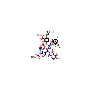 CCN1CCN(C(=O)NC(C(=O)N[C@@H](Cc2ccc(SCC=O)c(C(=O)OC(C)(C)C)c2OC(=O)OC(C)(C)C)B2O[C@@H]3C[C@@H]4C[C@@H](C4(C)C)[C@]3(C)O2)c2csc(NC(=O)OC(C)(C)C)n2)C(O)C1=O